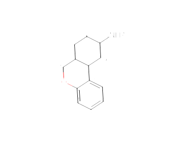 CC(=O)NC1CCC2COc3ccccc3C2C1